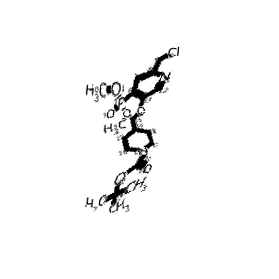 COP(=O)(OC)c1cc(CCl)ncc1OCC1CCN(C(=O)OC(C)(C)C)CC1